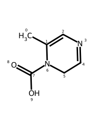 CC1=CN=CCN1C(=O)O